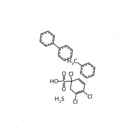 Cc1ccccc1.O=S(=O)(O)C1(Cl)C=CC(Cl)=C(Cl)C1.S.c1ccc(-c2ccccc2)cc1